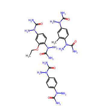 CCOc1cc(N(N)C(N)=O)ccc1N(N)C(N)=O.Cc1cc(N(N)C(N)=O)ccc1N(N)C(N)=O.NC(=O)N(N)c1ccc(N(N)C(N)=O)cc1